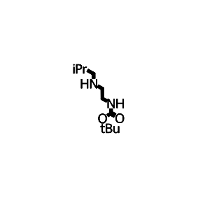 CC(C)CNCCNC(=O)OC(C)(C)C